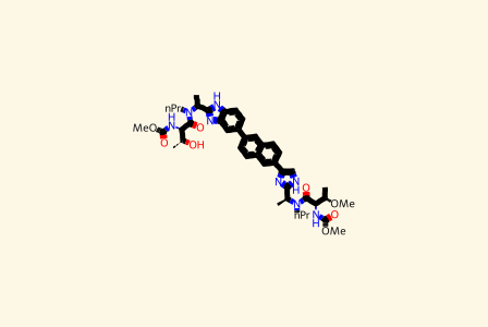 CCCN(C(=O)[C@@H](NC(=O)OC)[C@@H](C)O)C(C)c1nc2cc(-c3ccc4cc(-c5c[nH]c([C@H](C)N(CCC)C(=O)[C@@H](NC(=O)OC)[C@@H](C)OC)n5)ccc4c3)ccc2[nH]1